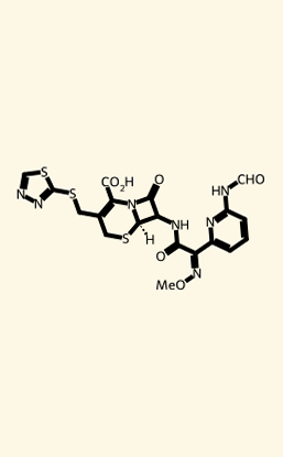 CO/N=C(\C(=O)NC1C(=O)N2C(C(=O)O)=C(CSc3nncs3)CS[C@H]12)c1cccc(NC=O)n1